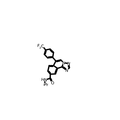 CC(C)NC(=O)c1ccc2c(-c3ccc(C(F)(F)F)cc3)cn3ncnc3c2c1